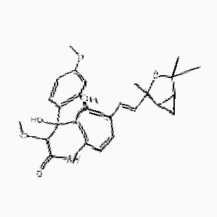 COc1ccc(C2(O)c3c(ccc(/C=C/C4(C)OC(C)(C)C5CC54)c3O)NC(=O)C2OC)cc1